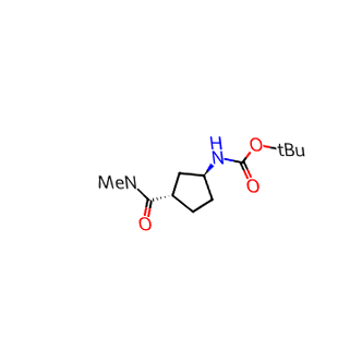 CNC(=O)[C@H]1CC[C@H](NC(=O)OC(C)(C)C)C1